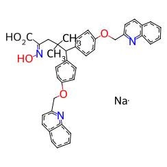 CC(C)(CC(=NO)C(=O)O)C(c1ccc(OCc2ccc3ccccc3n2)cc1)c1ccc(OCc2ccc3ccccc3n2)cc1.[Na]